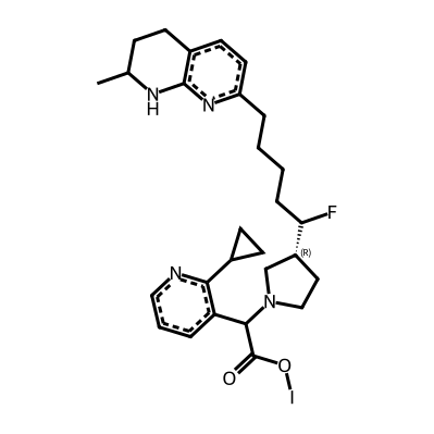 CC1CCc2ccc(CCCCC(F)[C@@H]3CCN(C(C(=O)OI)c4cccnc4C4CC4)C3)nc2N1